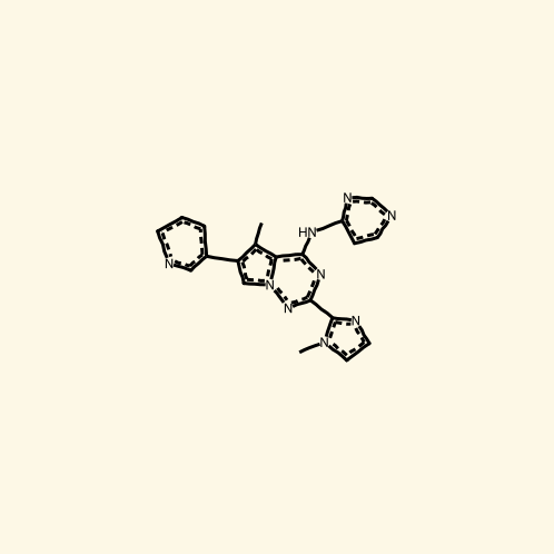 Cc1c(-c2cccnc2)cn2nc(-c3nccn3C)nc(Nc3ccncn3)c12